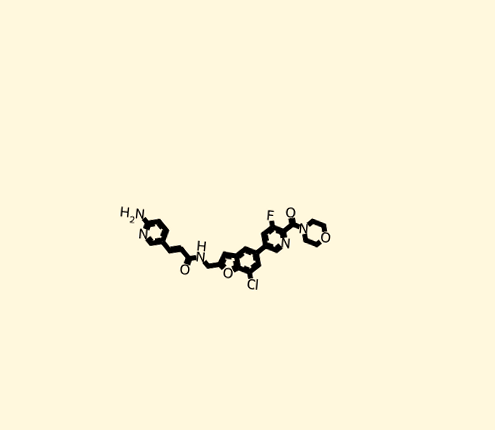 Nc1ccc(C=CC(=O)NCc2cc3cc(-c4cnc(C(=O)N5CCOCC5)c(F)c4)cc(Cl)c3o2)cn1